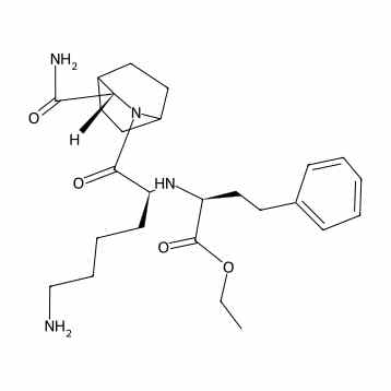 CCOC(=O)[C@H](CCc1ccccc1)N[C@@H](CCCCN)C(=O)N1C2CCC(CC2)[C@H]1C(N)=O